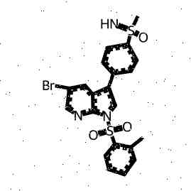 Cc1ccccc1S(=O)(=O)n1cc(-c2ccc(S(C)(=N)=O)cc2)c2cc(Br)cnc21